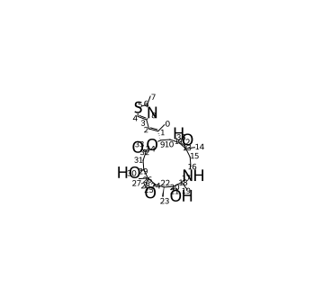 CC(=Cc1csc(C)n1)[C@@H]1C[C@@H]2OC2(C)CCNC(C)[C@@H](O)[C@@H](C)C(=O)C(C)(C)[C@@H](O)CC(=O)O1